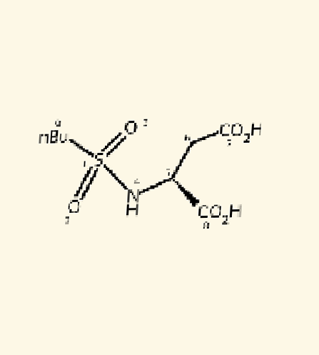 CCCCS(=O)(=O)N[C@@H](CC(=O)O)C(=O)O